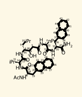 CCC[C@H](NC(=O)C[C@@H](O)[C@@H](CC(C)C)NC(=O)[C@@H](NC(=O)[C@H](Cc1ccc2ccccc2c1)NC(C)=O)C(C)C)C(=O)N[C@@H](Cc1ccc2ccccc2c1)C(N)=O